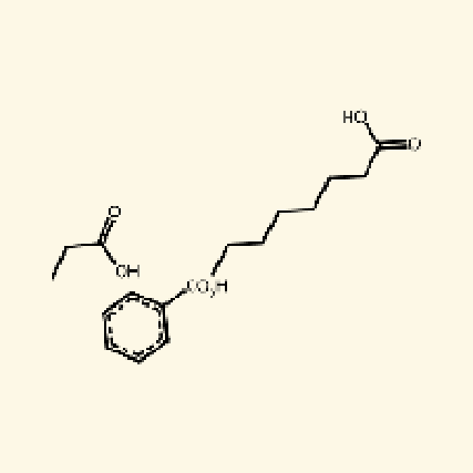 CCC(=O)O.CCCCCCCC(=O)O.O=C(O)c1ccccc1